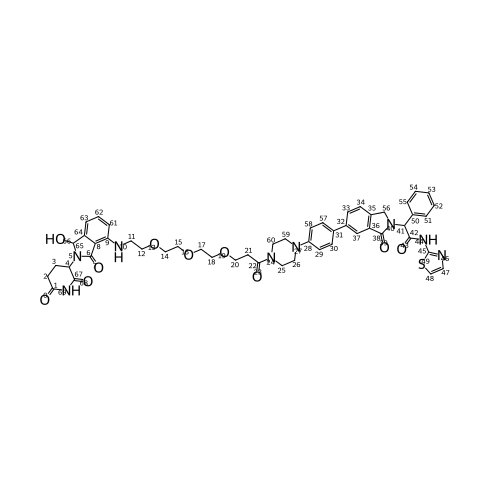 O=C1CCC(N2C(=O)c3c(NCCOCCOCCOCCC(=O)N4CCN(c5ccc(-c6ccc7c(c6)C(=O)N(C(C(=O)Nc6nccs6)c6ccccc6)C7)cc5)CC4)cccc3C2O)C(=O)N1